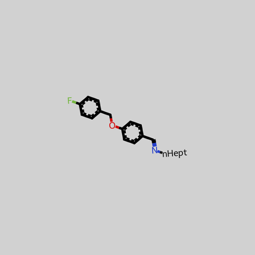 CCCCCCC/N=C/c1ccc(OCc2ccc(F)cc2)cc1